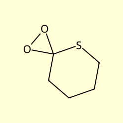 C1CCC2(OO2)SC1